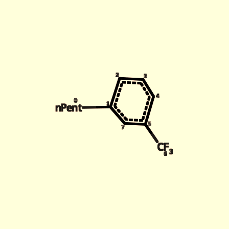 [CH2]CCCCc1cccc(C(F)(F)F)c1